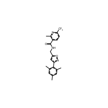 Cc1cc(C)c(-c2cc(CNC(=O)c3ccc(C(F)(F)F)nc3C)on2)c(C)c1